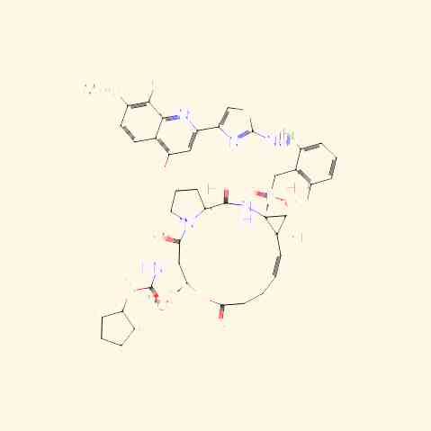 COc1ccc2c(O[C@@H]3C[C@H]4C(=O)N[C@]5(P(=O)(O)Cc6c(F)cccc6F)C[C@H]5/C=C\CCC(=O)O[C@@H](C)[C@H](NC(=O)OC5CCCC5)C(=O)N4C3)cc(-c3csc(NC(C)C)n3)nc2c1Cl